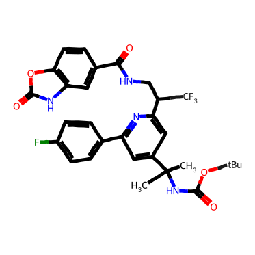 CC(C)(C)OC(=O)NC(C)(C)c1cc(-c2ccc(F)cc2)nc(C(CNC(=O)c2ccc3oc(=O)[nH]c3c2)C(F)(F)F)c1